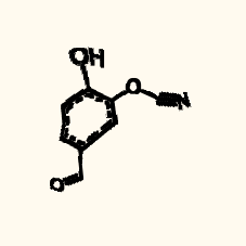 N#COc1cc(C=O)ccc1O